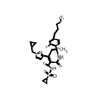 C[C@@]1(c2ccc(CCCCC(F)(F)F)cc2F)CC(c2ccn(CC3CC3)n2)=C(C(=O)NS(=O)(=O)C2CC2)C(=O)N1